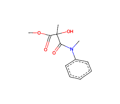 COC(=O)C(C)(O)C(=O)N(C)c1ccccc1